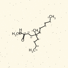 CCCCCCC(C)(CCCC)CCC(=O)NC